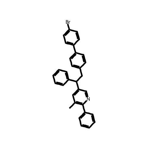 Cc1cc(C(Cc2ccc(-c3ccc(Br)cc3)cc2)c2ccccc2)cnc1-c1ccccc1